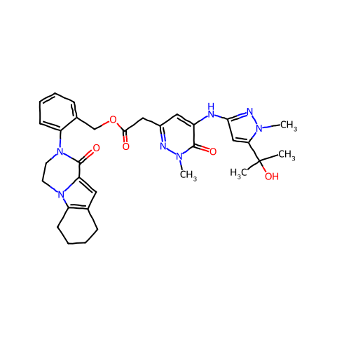 Cn1nc(Nc2cc(CC(=O)OCc3ccccc3N3CCn4c(cc5c4CCCC5)C3=O)nn(C)c2=O)cc1C(C)(C)O